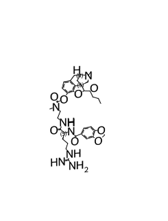 CCCC(=O)C1Oc2c(OC(=O)N(C)CCNC(=O)[C@H](CCCNC(=N)N)NC(=O)c3ccc4c(c3)OCO4)ccc3c2[C@]12C[C@@H](C3)N(C)C2